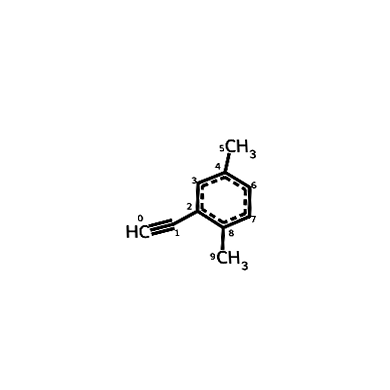 C#Cc1cc(C)ccc1C